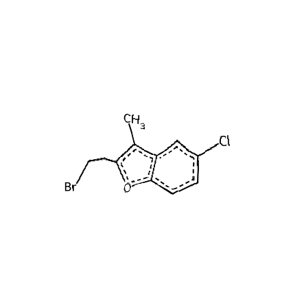 Cc1c(CBr)oc2ccc(Cl)cc12